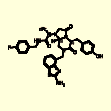 CCCN(C(=O)NCc1ccc(F)cc1)N1CC(=O)N2[C@@H](Cc3ccc(O)cc3)C(=O)N(Cc3cccc4sc(N)nc34)C[C@@H]21